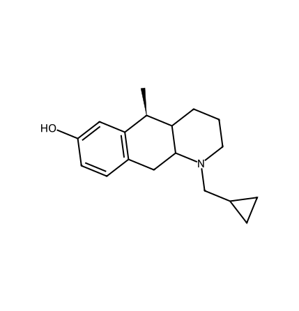 C[C@@H]1c2cc(O)ccc2CC2C1CCCN2CC1CC1